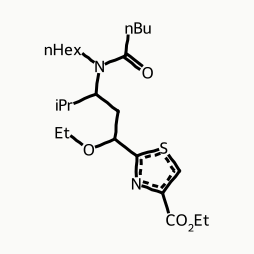 CCCCCCN(C(=O)CCCC)C(CC(OCC)c1nc(C(=O)OCC)cs1)C(C)C